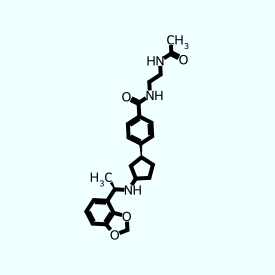 CC(=O)NCCNC(=O)c1ccc([C@H]2CCC(N[C@H](C)c3cccc4c3OCO4)C2)cc1